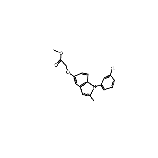 COC(=O)COc1ccc2c(c1)cc(C)n2-c1cccc(Cl)c1